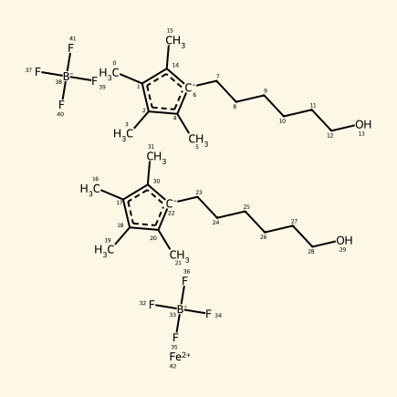 Cc1c(C)c(C)[c-](CCCCCCO)c1C.Cc1c(C)c(C)[c-](CCCCCCO)c1C.F[B-](F)(F)F.F[B-](F)(F)F.[Fe+2]